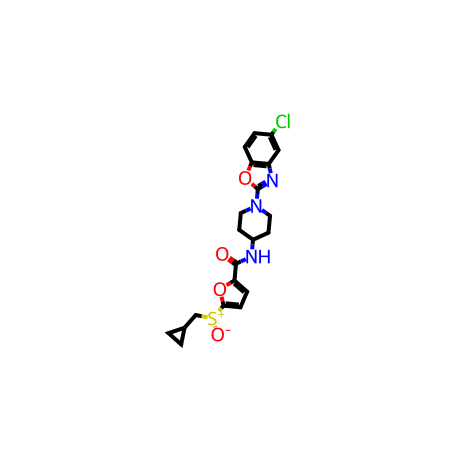 O=C(NC1CCN(c2nc3cc(Cl)ccc3o2)CC1)c1ccc([S+]([O-])CC2CC2)o1